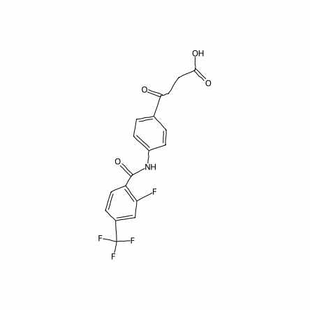 O=C(O)CCC(=O)c1ccc(NC(=O)c2ccc(C(F)(F)F)cc2F)cc1